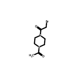 CC(=O)N1CCN(C(=O)CBr)CC1